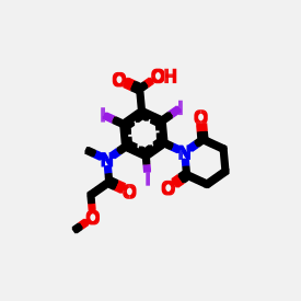 COCC(=O)N(C)c1c(I)c(C(=O)O)c(I)c(N2C(=O)CCCC2=O)c1I